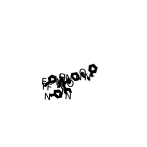 Cn1c(-c2ccnn2-c2ccc(C#N)cc2)c(C(=O)NC2CCN(C(=O)C[N+](C)(C)Cc3ccccc3)CC2)c(=O)n1-c1cccc(C(F)(F)F)c1